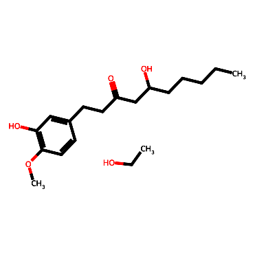 CCCCCC(O)CC(=O)CCc1ccc(OC)c(O)c1.CCO